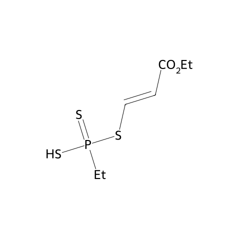 CCOC(=O)C=CSP(=S)(S)CC